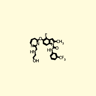 Cc1cc2c(F)c(OC3=NC(CNCCO)=NC=CC3)ccc2n1C(=O)Nc1cccc(C(F)(F)F)c1